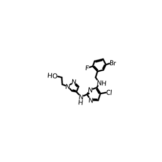 OCCn1cc(Nc2ncc(Cl)c(NCc3cc(Br)ccc3F)n2)cn1